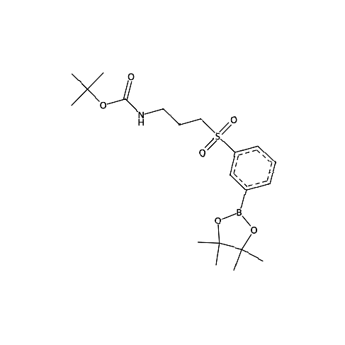 CC(C)(C)OC(=O)NCCCS(=O)(=O)c1cccc(B2OC(C)(C)C(C)(C)O2)c1